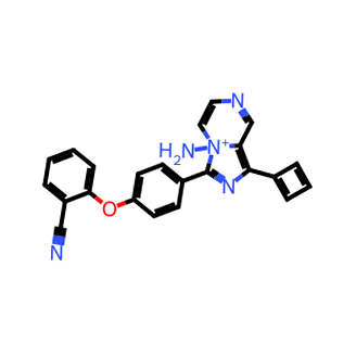 N#Cc1ccccc1Oc1ccc(C2=NC(C3=CC=C3)=C3C=NC=C[N+]23N)cc1